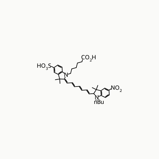 CCCCN1c2ccc([N+](=O)[O-])cc2C(C)(C)C1C=CC=CC=CC=C1N(CCCCCC(=O)O)c2ccc(S(=O)(=O)O)cc2C1(C)C